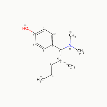 CCC[C@@H](C)C(c1ccc(O)cc1)N(C)C